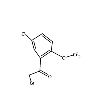 O=C(CBr)c1cc(Cl)ccc1OC(F)(F)F